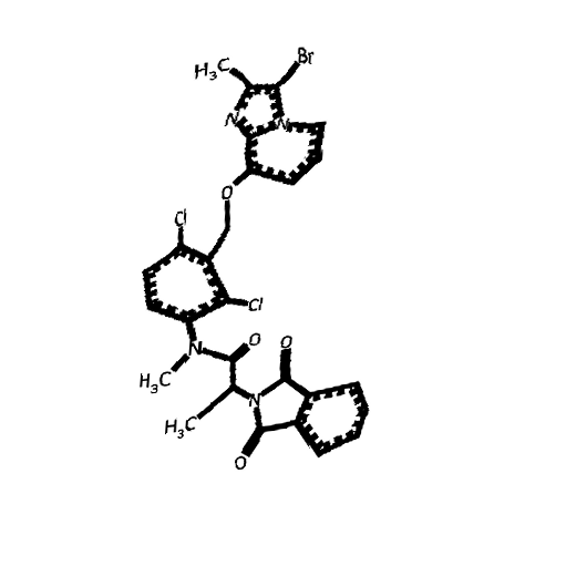 Cc1nc2c(OCc3c(Cl)ccc(N(C)C(=O)C(C)N4C(=O)c5ccccc5C4=O)c3Cl)cccn2c1Br